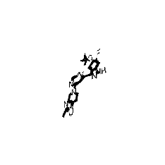 Cc1nc2c(o1)CCN(c1cc(-c3n[nH]c4cc(F)c(OC5(C)CC5)cc34)ncn1)C2